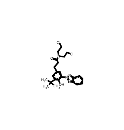 CC(C)(C)c1cc(CCC(=O)N(CCCl)CCCl)cc(-n2nc3ccccc3n2)c1O